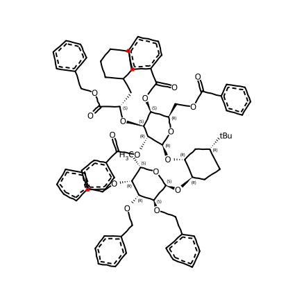 C[C@@H]1O[C@@H](O[C@@H]2CC[C@@H](C(C)(C)C)C[C@H]2O[C@@H]2O[C@H](COC(=O)c3ccccc3)[C@H](OC(=O)c3ccccc3)[C@H](O[C@@H](CC3CCCCC3)C(=O)OCc3ccccc3)[C@H]2OC(=O)c2ccccc2)[C@@H](OCc2ccccc2)[C@H](OCc2ccccc2)[C@@H]1OCc1ccccc1